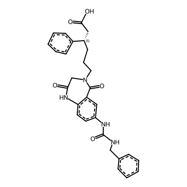 O=C(O)C[C@H](CCCN1CC(=O)Nc2ccc(NC(=O)NCc3ccccc3)cc2C1=O)c1ccccc1